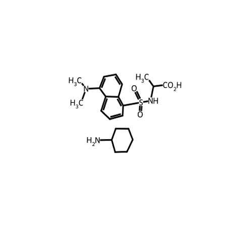 CC(NS(=O)(=O)c1cccc2c(N(C)C)cccc12)C(=O)O.NC1CCCCC1